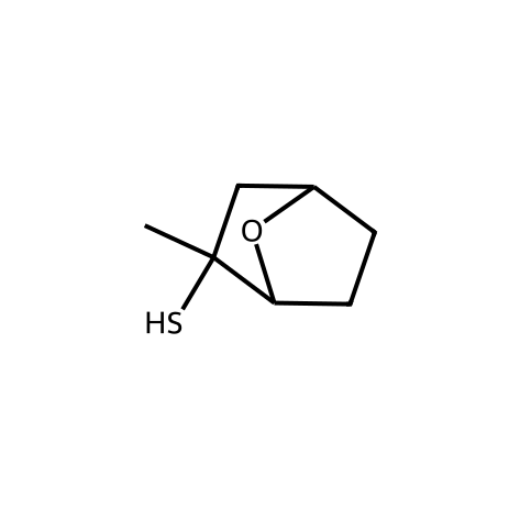 CC1(S)CC2CCC1O2